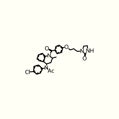 CC(=O)N(c1ccc(Cl)cc1)C1CC(C)N(C(=O)c2ccc(OCCCN3CCNC3=O)cc2)c2ccccc21